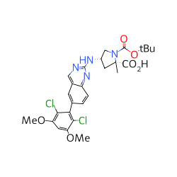 COc1cc(OC)c(Cl)c(-c2ccc3nc(N[C@@H]4CN(C(=O)OC(C)(C)C)[C@](C)(C(=O)O)C4)ncc3c2)c1Cl